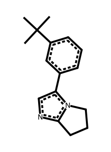 CC(C)(C)c1cccc(-c2cnc3n2CCC3)c1